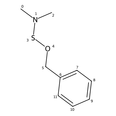 CN(C)SOCc1ccccc1